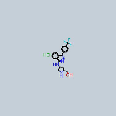 Cl.OC[C@@H]1C[C@H](Nc2nnc(-c3ccc(C(F)(F)F)cc3)c3ccccc23)CN1